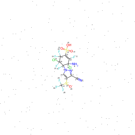 N#Cc1nn(C2(F)C(N)(Cl)C(F)=C(S(=O)(=O)O)C(F)(F)C2(F)Cl)cc1[S+]([O-])C(F)(F)F